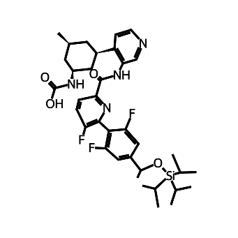 CC(O[Si](C(C)C)(C(C)C)C(C)C)c1cc(F)c(-c2nc(C(=O)Nc3cnccc3[C@@H]3C[C@H](C)C[C@H](NC(=O)O)C3)ccc2F)c(F)c1